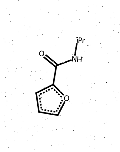 CC(C)NC(=O)c1cc[c]o1